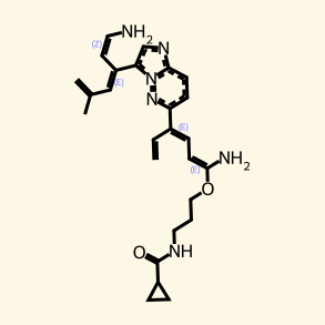 C=C/C(=C\C=C(/N)OCCCNC(=O)C1CC1)c1ccc2ncc(C(/C=C\N)=C/C(=C)C)n2n1